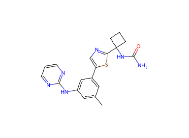 Cc1cc(Nc2ncccn2)cc(-c2cnc(C3(NC(N)=O)CCC3)s2)c1